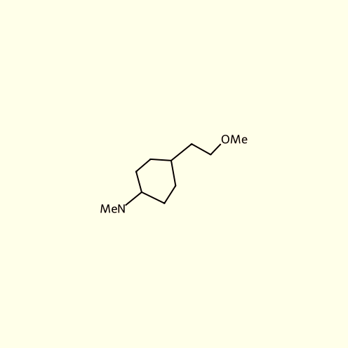 CNC1CCC(CCOC)CC1